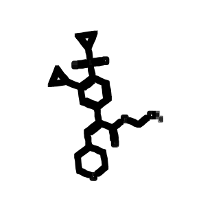 CCOC(=O)C(=CC1CCOCC1)c1ccc(S(=O)(=O)C2CC2)c(C2CC2)c1